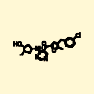 [CH2][C@@H]1C[C@@H](Nc2ncncc2C(=O)c2cc(Cc3cccc(Cl)c3)c(C)o2)C[C@@H]1O